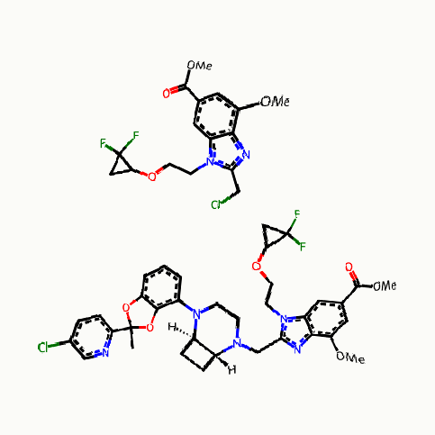 COC(=O)c1cc(OC)c2nc(CCl)n(CCOC3CC3(F)F)c2c1.COC(=O)c1cc(OC)c2nc(CN3CCN(c4cccc5c4OC(C)(c4ccc(Cl)cn4)O5)[C@@H]4CC[C@H]43)n(CCOC3CC3(F)F)c2c1